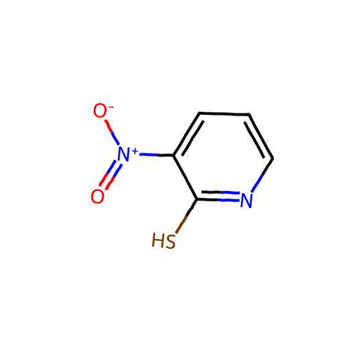 O=[N+]([O-])c1cccnc1S